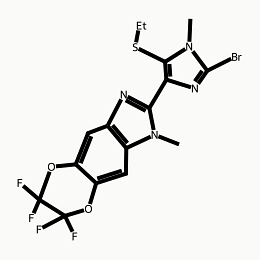 CCSc1c(-c2nc3cc4c(cc3n2C)OC(F)(F)C(F)(F)O4)nc(Br)n1C